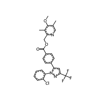 COc1c(C)cnc(COC(=O)c2ccc(-c3cc(C(F)(F)F)nn3-c3ccccc3Cl)cc2)c1C